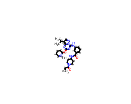 C=CC(=O)N1CCC(NC(=O)c2cccc(Nc3nc(OC4CCCCN4C)nc4c(C(C)C)cnn34)c2)CC1